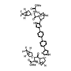 COC(=O)NC(C(=O)N1[C@@H]2C[C@@H]2C[C@H]1c1nc(-c2ccc(-c3ccc(-c4c[nH]c([C@@H]5C[C@H]6C[C@H]6N5C(=O)C(NC(=O)OC)[C@@H]5C[C@@H]6[C@H](C5)C6(F)F)n4)cc3)cc2)c[nH]1)[C@@H]1C[C@@H]2[C@H](C1)C2(F)F